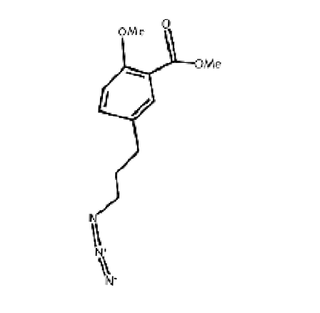 COC(=O)c1cc(CCCN=[N+]=[N-])ccc1OC